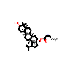 C=C(C)C1CC[C@]2(COC(=O)/C=C\C(=O)O)CC[C@]3(C)[C@H](CC[C@@H]4[C@@]5(C)CC[C@H](O)C(C)(C)[C@@H]5CC[C@]43C)[C@@H]12